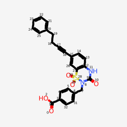 O=C(O)c1ccc(CN2C(=O)Nc3ccc(C#CCCc4ccccc4)cc3S2(=O)=O)cc1